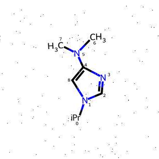 CC(C)n1cnc(N(C)C)c1